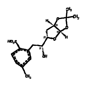 Cc1ccc(S(=O)(=O)O)c(C[C@@H](O)[C@@H]2C[C@H]3OC(C)(C)O[C@H]3O2)c1